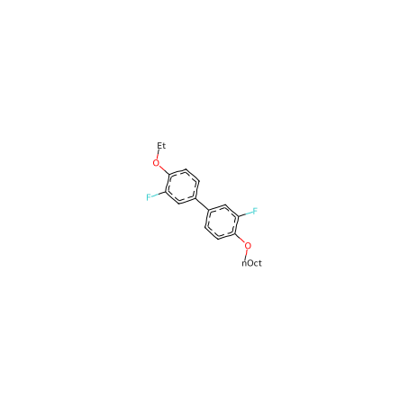 CCCCCCCCOc1ccc(-c2ccc(OCC)c(F)c2)cc1F